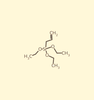 C=CC[Si](OCC)(OCC)OCC